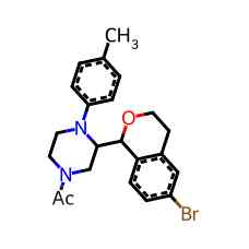 CC(=O)N1CCN(c2ccc(C)cc2)C(C2OCCc3cc(Br)ccc32)C1